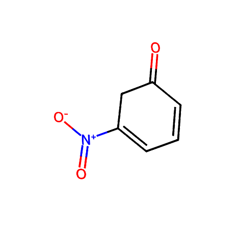 O=C1C=CC=C([N+](=O)[O-])C1